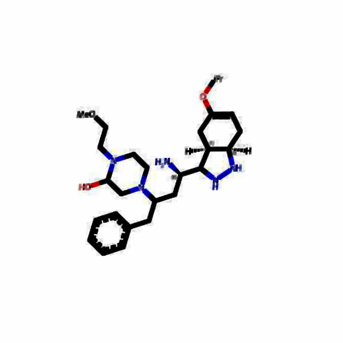 COCCN1CCN(C(Cc2ccccc2)C[C@@H](N)C2NN[C@@H]3CC=C(OC(C)C)C[C@H]23)CC1O